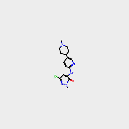 CN1CCC(c2ccc(Nc3cc(Cl)nn(C)c3=O)nc2)CC1